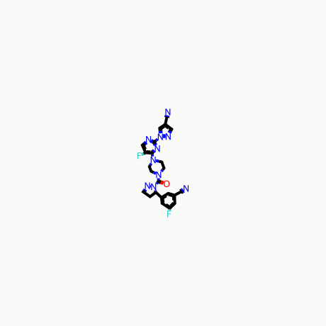 N#Cc1cc(F)cc(C2CC=NN2C(=O)N2CCN(c3nc(-n4cc(C#N)cn4)ncc3F)CC2)c1